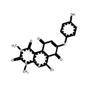 CCc1nc2c(c3c1C(=O)C(Sc1ccc(O)cc1)=CC3=O)c(=O)n(C)c(=O)n2C